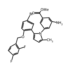 COC(=O)c1cc(N)cc(-n2c(C)ccc2-c2cc(Br)ccc2OCc2ccc(F)cc2F)c1